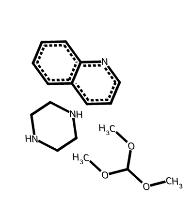 C1CNCCN1.COC(OC)OC.c1ccc2ncccc2c1